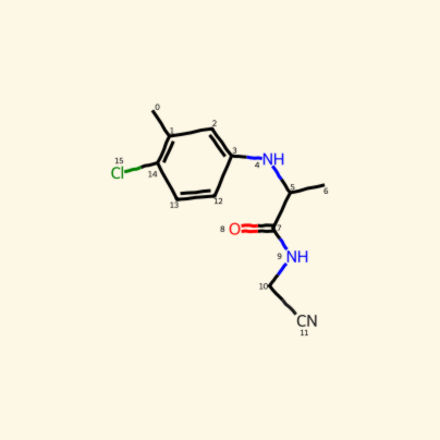 Cc1cc(NC(C)C(=O)NCC#N)ccc1Cl